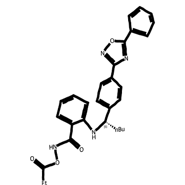 CCCC[C@H](Nc1ccccc1C(=O)NOC(=O)CC)c1ccc(-c2noc(-c3ccccc3)n2)cc1